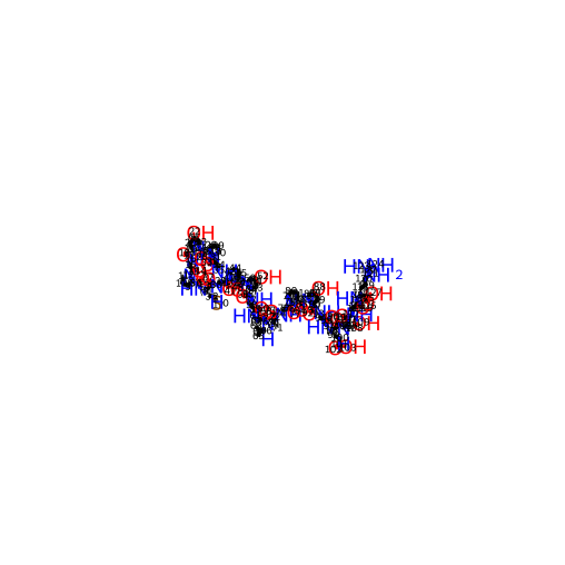 CSCC[C@H](NC(=O)[C@@H]1CCCN1C(=O)CNC(=O)[C@@H]1C[C@@H](O)CN1C(=O)[C@@H]1CCCN1C(=O)CN)C(=O)NCC(=O)N1CCC[C@H]1C(=O)N1C[C@H](O)C[C@H]1C(=O)NCC(=O)N[C@@H](CC(C)C)C(=O)N[C@@H](C)C(=O)NCC(=O)N1CCC[C@H]1C(=O)N1C[C@H](O)C[C@H]1C(=O)NCC(=O)N[C@@H](CCC(=O)O)C(=O)N[C@@H](CO)C(=O)NCC(=O)N[C@@H](CCCNC(=N)N)C(=O)O